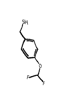 FC(F)Oc1ccc(CS)cc1